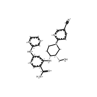 N#Cc1ccc(N2CC[C@@H](Nc3cc(Nc4cnccn4)ncc3C(N)=O)[C@@H](CO)C2)nc1